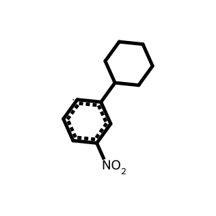 O=[N+]([O-])c1cc[c]c(C2CCCCC2)c1